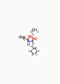 C=CCOC(=O)[C@@H](CCc1ccccc1)NC(=O)OC(C)(C)C